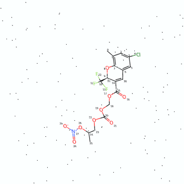 Cc1cc(Cl)cc2c1O[C@H](C(F)(F)F)C(C(=O)OCOC(=O)OCC(C)O[N+](=O)[O-])=C2